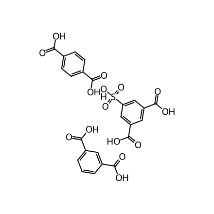 O=C(O)c1cc(C(=O)O)cc(S(=O)(=O)O)c1.O=C(O)c1ccc(C(=O)O)cc1.O=C(O)c1cccc(C(=O)O)c1